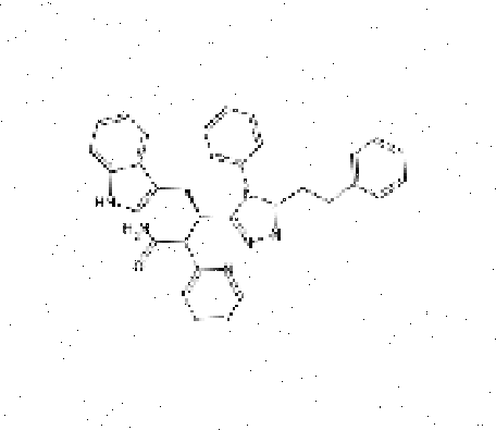 NC(=O)C(c1ccccn1)[C@@H](Cc1c[nH]c2ccccc12)c1nnc(CCc2ccccc2)n1-c1ccccc1